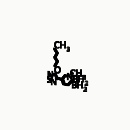 BC1(B)CC=C(c2nsnc2OCCCCCC)CN1C